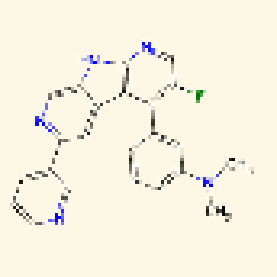 CN(C)c1cccc(-c2c(F)cnc3[nH]c4cnc(-c5cccnc5)cc4c23)c1